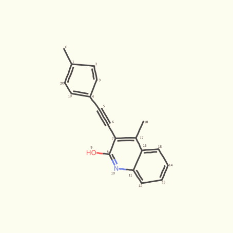 Cc1ccc(C#Cc2c(O)nc3ccccc3c2C)cc1